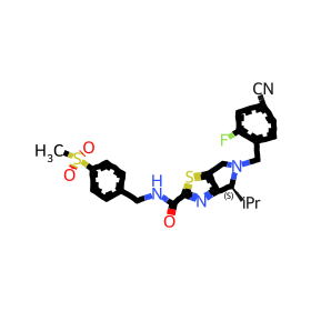 CC(C)[C@H]1c2nc(C(=O)NCc3ccc(S(C)(=O)=O)cc3)sc2CN1Cc1ccc(C#N)cc1F